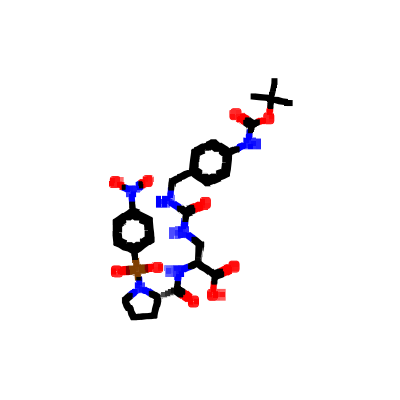 CC(C)(C)OC(=O)Nc1ccc(CNC(=O)NC[C@H](NC(=O)[C@@H]2CCCN2S(=O)(=O)c2ccc([N+](=O)[O-])cc2)C(=O)O)cc1